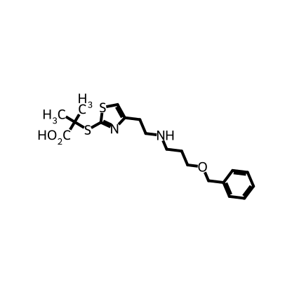 CC(C)(Sc1nc(CCNCCCOCc2ccccc2)cs1)C(=O)O